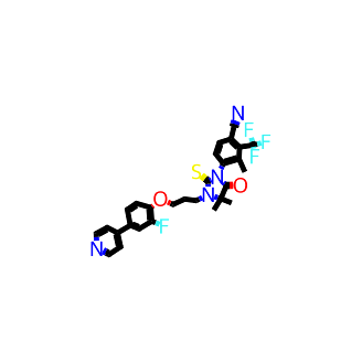 Cc1c(N2C(=O)C(C)(C)N(CCCOc3ccc(-c4ccncc4)cc3F)C2=S)ccc(C#N)c1C(F)(F)F